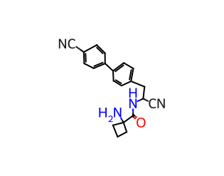 N#Cc1ccc(-c2ccc(CC(C#N)NC(=O)C3(N)CCC3)cc2)cc1